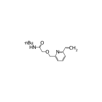 C=Cc1cccc(COCC(=O)N[CH]CCC)n1